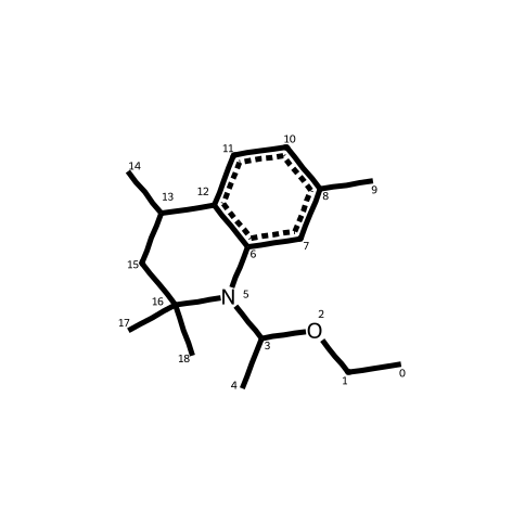 CCOC(C)N1c2cc(C)ccc2C(C)CC1(C)C